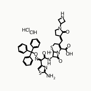 Cl.Cl.Nc1nc(/C(=N/OC(c2ccccc2)(c2ccccc2)c2ccccc2)C(=O)N[C@@H]2C(=O)N3C(C(=O)O)=C(/C=C4\CCN(C5CNC5)C4=O)CS[C@H]23)cs1